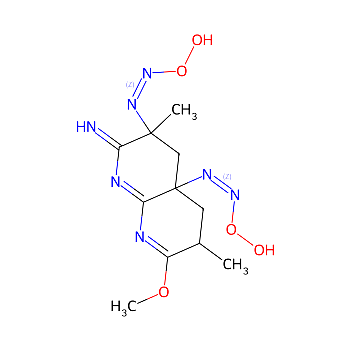 COC1=NC2=NC(=N)C(C)(/N=N\OO)CC2(/N=N\OO)CC1C